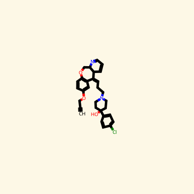 C#CCOc1ccc2c(c1)C(=CCCN1CCC(O)(c3ccc(Cl)cc3)CC1)C1C=CC=NC1CO2